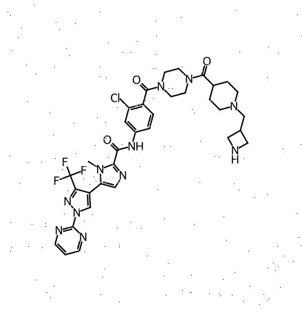 Cn1c(-c2cn(-c3ncccn3)nc2C(F)(F)F)cnc1C(=O)Nc1ccc(C(=O)N2CCN(C(=O)C3CCN(CC4CNC4)CC3)CC2)c(Cl)c1